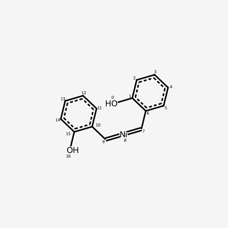 Oc1ccccc1[CH]=[Ni]=[CH]c1ccccc1O